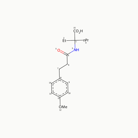 CCCC(CC)(NC(=O)CCc1ccc(OC)cc1)C(=O)O